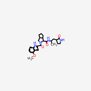 COc1cccc2[nH]c(C(=O)N3CC4CCCC4C3C(=O)NC(C)CC3CCNC3=O)cc12